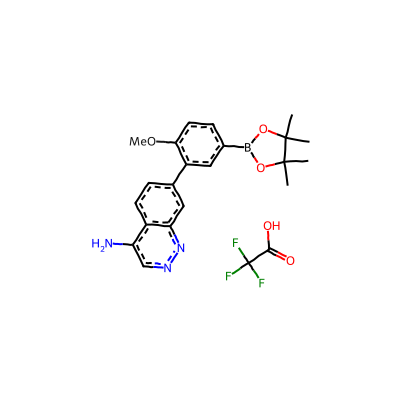 COc1ccc(B2OC(C)(C)C(C)(C)O2)cc1-c1ccc2c(N)cnnc2c1.O=C(O)C(F)(F)F